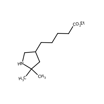 CCOC(=O)CCCCC1CNC(C)(C)C1